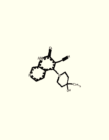 CC1(O)CCN(c2c(C#N)c(=O)[nH]c3cnccc23)CC1